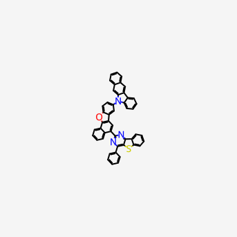 c1ccc(-c2nc(-c3cc4c5cc(-n6c7ccccc7c7cc8ccccc8cc76)ccc5oc4c4ccccc34)nc3c2sc2ccccc23)cc1